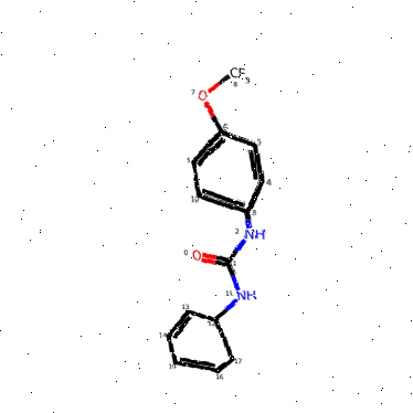 O=C(Nc1ccc(OC(F)(F)F)cc1)NC1[C]=CC=CC1